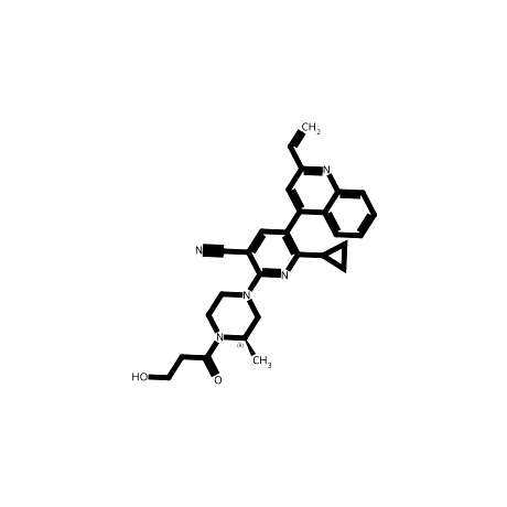 C=Cc1cc(-c2cc(C#N)c(N3CCN(C(=O)CCO)[C@H](C)C3)nc2C2CC2)c2ccccc2n1